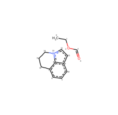 CCOC=O.c1cc2c3c(c1)ccn3CCC2